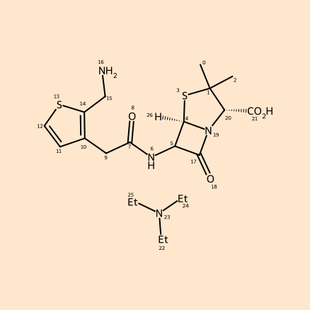 CC1(C)S[C@@H]2C(NC(=O)Cc3ccsc3CN)C(=O)N2[C@H]1C(=O)O.CCN(CC)CC